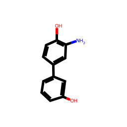 Nc1cc(-c2cccc(O)c2)ccc1O